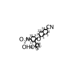 N#Cc1ccc2cc(Oc3ccc([N+](=O)[O-])cc3-c3ccsc3C=O)ccc2c1